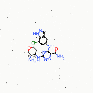 NC(=O)c1nnc(N[C@@H]2CCOC[C@@H]2N)nc1Nc1cc(Cl)c2[nH]ncc2c1